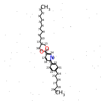 CCCCCCCCCCCCC1COC(c2ccc(-c3ccc(CCCCCCC)cc3)nc2)OC1